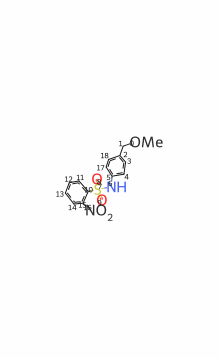 COCc1ccc(NS(=O)(=O)c2ccccc2[N+](=O)[O-])cc1